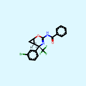 O=C(NC1=N[C@@](c2cccc(Br)c2)(C(F)(F)F)[C@H]2CC2O1)c1ccccc1